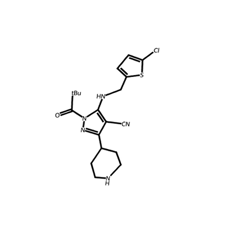 CC(C)(C)C(=O)n1nc(C2CCNCC2)c(C#N)c1NCc1ccc(Cl)s1